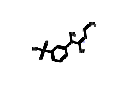 C=N/N=C(/S)N(N)c1cccc(S(=O)(=O)O)c1